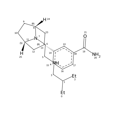 CCC(CC)CNCCN1[C@@H]2CC[C@H]1C[C@@H](c1cccc(C(N)=O)c1)C2